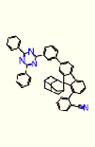 N#Cc1ccccc1-c1cccc2c1C1(c3cc(-c4cccc(-c5nc(-c6ccccc6)nc(-c6ccccc6)n5)c4)ccc3-2)C2CC3CC(C2)CC1C3